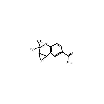 CC(=S)c1ccc2c(c1)C1OC1C(C)(C)O2